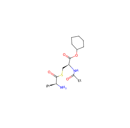 CCC(=O)N[C@@H](CSC(=O)[C@@H](N)C(C)C)C(=O)OC1CCCCC1